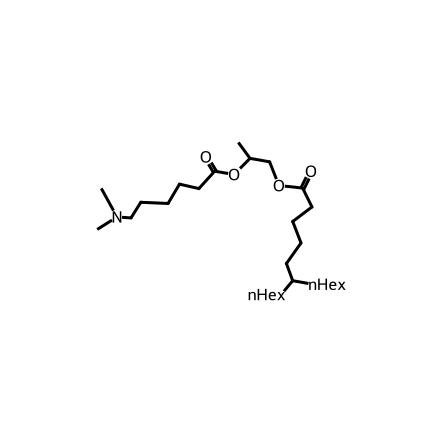 CCCCCCC(CCCCCC)CCCCC(=O)OCC(C)OC(=O)CCCCCN(C)C